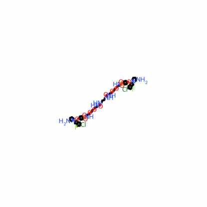 N[C@@H]1CCCN([C@H]2Cc3c(F)cc(Cl)cc3[C@@H]2Oc2ccc(S(=O)(=O)NCCOCCOCCNC(=O)NCCCCNC(=O)NCCOCCOCCNS(=O)(=O)c3ccc(O[C@H]4c5cc(Cl)cc(F)c5C[C@@H]4N4CCC[C@@H](N)C4)cc3)cc2)C1